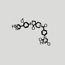 COc1cc(N2CCC3(CCN(C(=O)c4ccc(N5CC(=O)NC5=O)cc4)CC3)C2=O)ccc1-c1cn[nH]c1